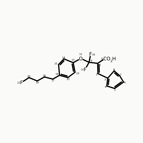 O=C(O)/C(=C\c1ccccc1)C(F)(F)Oc1ccc(CCCCF)cc1